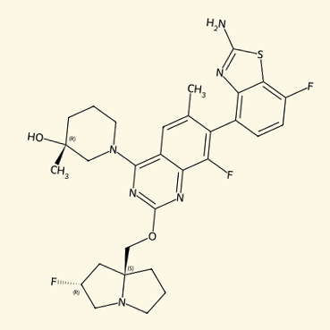 Cc1cc2c(N3CCC[C@@](C)(O)C3)nc(OC[C@@]34CCCN3C[C@H](F)C4)nc2c(F)c1-c1ccc(F)c2sc(N)nc12